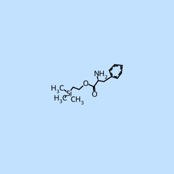 C[Si](C)(C)CCOC(=O)[C@@H](N)Cc1ccccc1